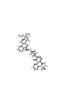 CC(C)(C)c1ccc(-c2ccccc2C(=O)NCC23CCC(C(=O)N[C@H](C(=O)N4CCC(F)(F)C4)c4ccccc4)(CC2)CC3)cc1